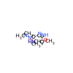 COc1ccccc1-c1c[nH]c2ncc(-c3ccc(NCCN(C)C)c(C(=O)N(C)C)c3)cc12